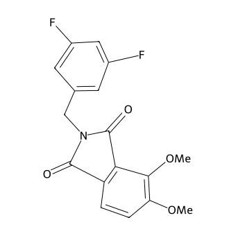 COc1ccc2c(c1OC)C(=O)N(Cc1cc(F)cc(F)c1)C2=O